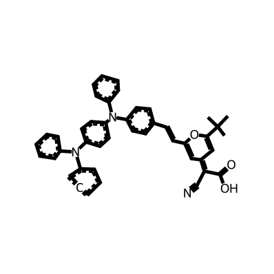 CC(C)(C)C1=C/C(=C(/C#N)C(=O)O)C=C(/C=C/c2ccc(N(c3ccccc3)c3ccc(N(c4ccccc4)c4ccccc4)cc3)cc2)O1